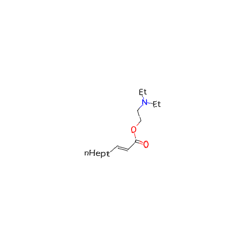 CCCCCCCC=CC(=O)OCCN(CC)CC